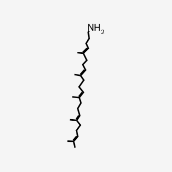 CC(C)=CCC/C(C)=C/CC/C(C)=C/CC/C(C)=C/CC/C(C)=C/CCCN